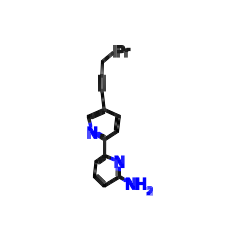 CC(C)CC#Cc1ccc(-c2cccc(N)n2)nc1